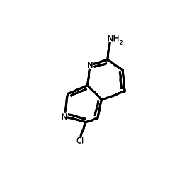 Nc1ccc2cc(Cl)ncc2n1